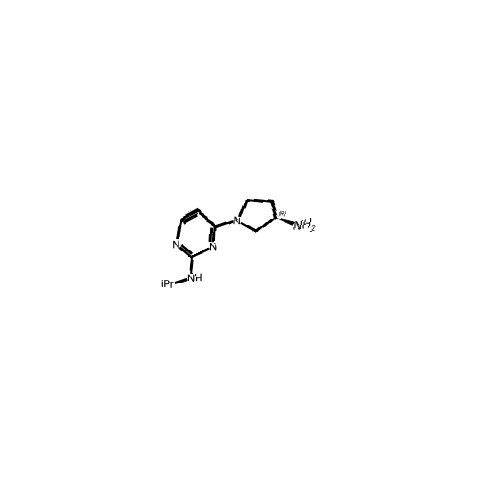 CC(C)Nc1nccc(N2CC[C@@H](N)C2)n1